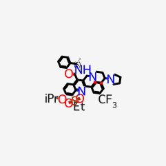 CCS(=O)(=O)c1c(OC(C)C)ccc2c(C(=O)N[C@@H](C)c3ccccc3)c(CN3CCC(N4CCCC4)CC3)c(-c3cccc(C(F)(F)F)c3)nc12